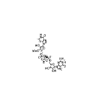 COC1[C@@H](COP(=O)(O)OP(=O)(O)OP(=O)([S-])OC[C@H]2O[C@@H](n3c[n+](C)c4c(=O)[nH]c(N)nc43)C(O)[C@H]2O)O[C@@H](n2cnc3c(=O)[nH]c(C)nc32)[C@H]1O